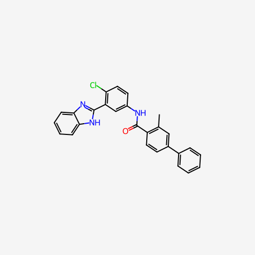 Cc1cc(-c2ccccc2)ccc1C(=O)Nc1ccc(Cl)c(-c2nc3ccccc3[nH]2)c1